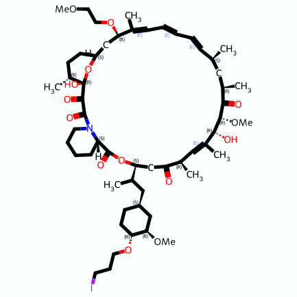 COCCO[C@@H]1C[C@@H]2CC[C@@H](C)[C@@](O)(O2)C(=O)C(=O)N2CCCC[C@H]2C(=O)O[C@H](C(C)C[C@@H]2CC[C@@H](OCCCI)[C@H](OC)C2)CC(=O)[C@H](C)/C=C(\C)[C@@H](O)[C@@H](OC)C(=O)[C@H](C)C[C@H](C)/C=C/C=C/C=C/1C